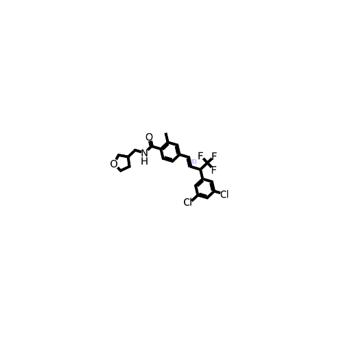 Cc1cc(/C=C/C(c2cc(Cl)cc(Cl)c2)C(F)(F)F)ccc1C(=O)NCC1CCOC1